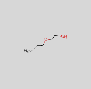 OCCOCC[SiH3]